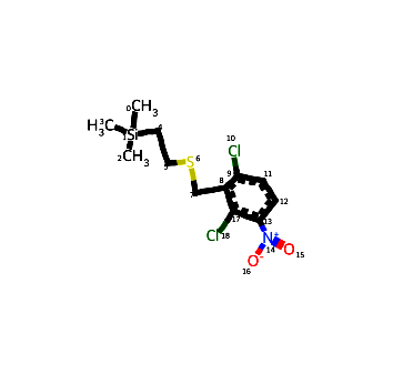 C[Si](C)(C)CCSCc1c(Cl)ccc([N+](=O)[O-])c1Cl